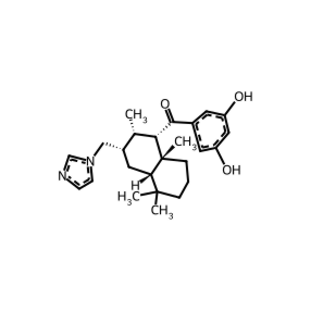 C[C@H]1[C@@H](Cn2ccnc2)C[C@H]2C(C)(C)CCC[C@@]2(C)[C@H]1C(=O)c1cc(O)cc(O)c1